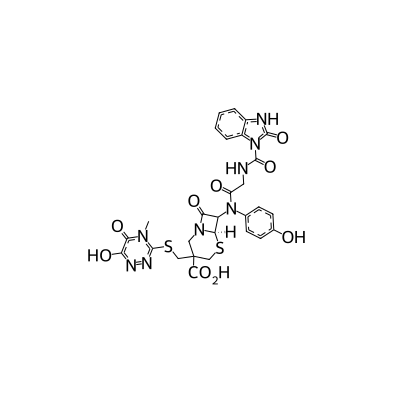 Cn1c(SCC2(C(=O)O)CS[C@@H]3C(N(C(=O)CNC(=O)n4c(=O)[nH]c5ccccc54)c4ccc(O)cc4)C(=O)N3C2)nnc(O)c1=O